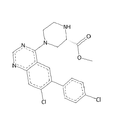 COC(=O)[C@@H]1CN(c2ncnc3cc(Cl)c(-c4ccc(Cl)cc4)cc23)CCN1